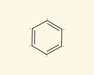 [c]1[c][c][c][c][c]1